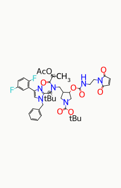 CC(=O)O[C@@H](C)C(=O)N(CC1CN(C(=O)OC(C)(C)C)CC1OC(=O)NCCN1C(=O)C=CC1=O)[C@@H](c1nc(-c2cc(F)ccc2F)cn1Cc1ccccc1)C(C)(C)C